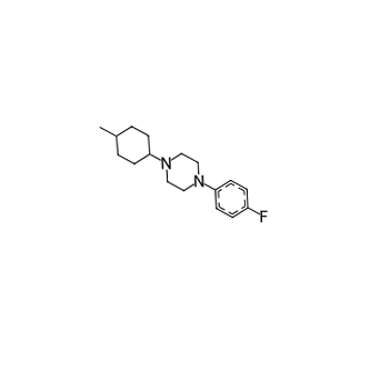 CC1CCC(N2CCN(c3ccc(F)cc3)CC2)CC1